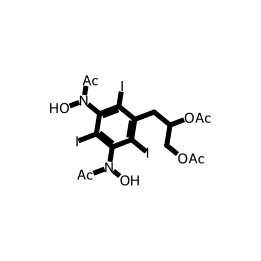 CC(=O)OCC(Cc1c(I)c(N(O)C(C)=O)c(I)c(N(O)C(C)=O)c1I)OC(C)=O